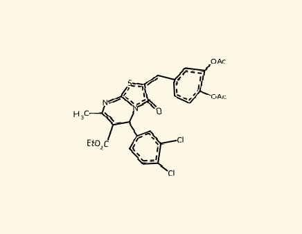 CCOC(=O)C1=C(C)N=c2sc(=Cc3ccc(OC(C)=O)c(OC(C)=O)c3)c(=O)n2C1c1ccc(Cl)c(Cl)c1